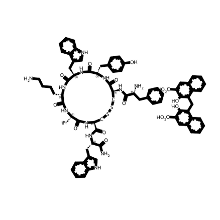 CC(C)[C@@H]1NC(=O)[C@H](CCCCN)NC(=O)[C@@H](Cc2c[nH]c3ccccc23)NC(=O)[C@H](Cc2ccc(O)cc2)NC(=O)[C@@H](NC(=O)[C@H](N)Cc2ccccc2)CSSC[C@@H](C(=O)N[C@@H](Cc2c[nH]c3ccccc23)C(N)=O)NC1=O.O=C(O)c1cc2ccccc2c(Cc2c(O)c(C(=O)O)cc3ccccc23)c1O